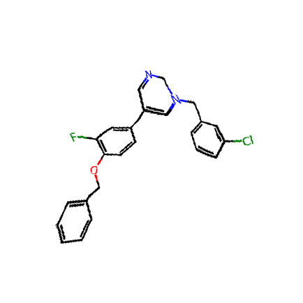 Fc1cc(C2=CN(Cc3cccc(Cl)c3)CN=C2)ccc1OCc1ccccc1